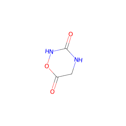 O=C1NCC(=O)ON1